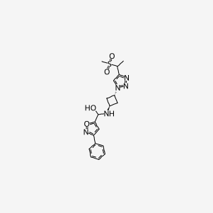 CC(c1cn([C@H]2C[C@H](NC(O)c3cc(-c4ccccc4)no3)C2)nn1)S(C)(=O)=O